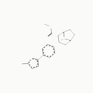 COC(=O)[C@@H]1C2CCC(C[C@@H]1c1ccc(-c3ccc(Br)s3)cc1)N2C